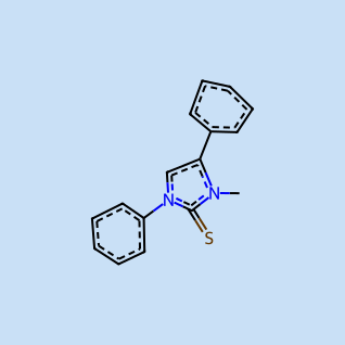 Cn1c(-c2ccccc2)cn(-c2ccccc2)c1=S